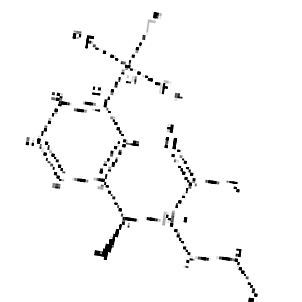 CCCN(C(C)=O)[C@@H](C)c1cccc(C(F)(F)F)c1